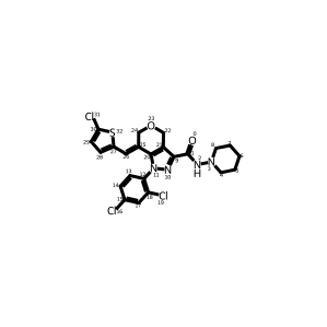 O=C(NN1CCCCC1)c1nn(-c2ccc(Cl)cc2Cl)c2c1COCC2=Cc1ccc(Cl)s1